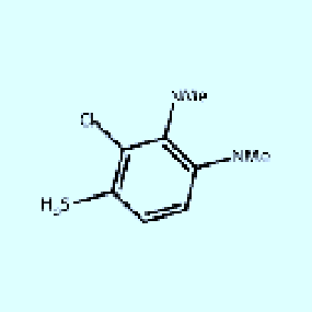 CNc1ccc([SiH3])c(Cl)c1NC